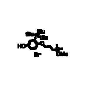 CO[Si](C)(C)CCCOc1ccc(O)cc1[P+](C(C)(C)C)(C(C)(C)C)C(C)(C)C.[Br-]